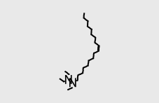 CCCCCCCC/C=C\CCCCCCCCN(CC)N(CC)CC